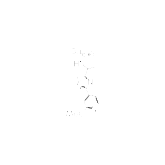 COc1cc(-c2nsc(C(C)N[S@@+]([O-])C(C)(C)C)n2)ccn1